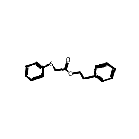 O=C(CSc1ccccc1)OCCc1ccccc1